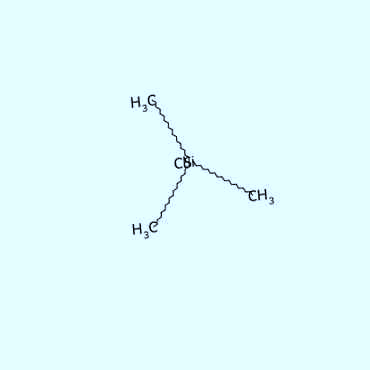 CCCCCCCCCCCCCCCCCC[Si](Cl)(CCCCCCCCCCCCCCCCCC)CCCCCCCCCCCCCCCCCC